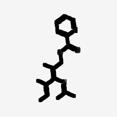 C/C=C(C)/C(N=C(C)C)=C(\C)COC(=O)c1ccccn1